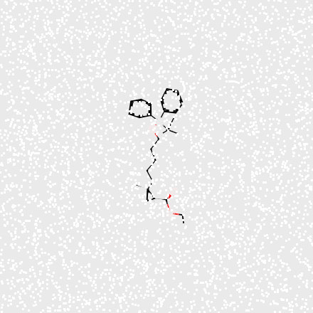 CCOC(=O)[C@H]1C[C@]1(C)CCCCCO[Si](c1ccccc1)(c1ccccc1)C(C)(C)C